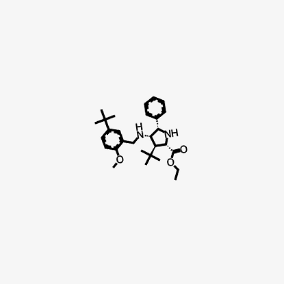 CCOC(=O)[C@H]1N[C@@H](c2ccccc2)[C@@H](NCc2cc(C(C)(C)C)ccc2OC)[C@@H]1C(C)(C)C